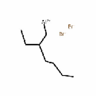 CCCCC(CC)[CH2][Al+2].[Br-].[Br-]